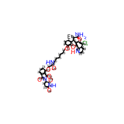 CCC(C(N)=O)C(c1cccc(OCCCCCCNC(=O)COc2cccc3c2C(=O)N(C2CCC(=O)NC2=O)C3=O)c1)c1cc(Cl)c2cccnc2c1O